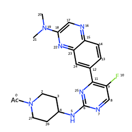 CC(=O)N1CCC(Nc2ncc(F)c(-c3ccc4ncc(N(C)C)nc4c3)n2)CC1